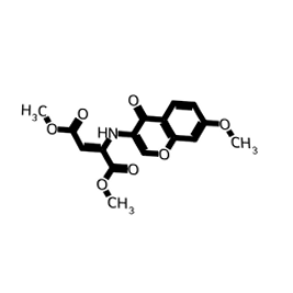 COC(=O)/C=C(\Nc1coc2cc(OC)ccc2c1=O)C(=O)OC